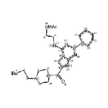 CCC(C)CCN1CCN(C(=O)c2cc3c(NCCNC(C)=O)nc(-c4ccccc4)nc3[nH]2)CC1